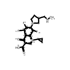 CNCC1CCN(c2c(F)c(F)c3c(=O)c(C(=O)O)cn(C4CC4)c3c2F)C1